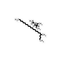 CCC(Br)(CC)C(=O)NC(N)=O.CCCCCCCCCCCCCCCCCCC(C)CCCC